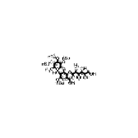 CCCCOC1C(OCCCC)[C@H](OCCCC)C(C)O[C@H]1OC1C(O)[C@H](OCCCC)OC(CO)[C@H]1OC(C)C(C)C(O)[C@@H](O)C(O)CO